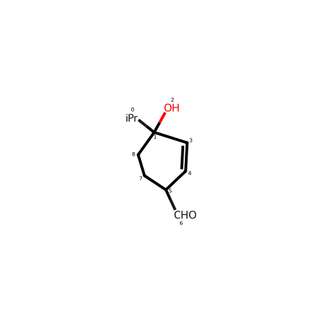 CC(C)C1(O)C=CC(C=O)CC1